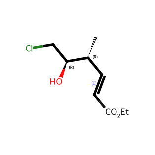 CCOC(=O)/C=C/[C@@H](C)[C@@H](O)CCl